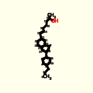 C=CCc1ccc(-c2ccc3cc(C=CCCCC(C)O)ccc3c2)cc1